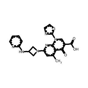 Cc1cc(N2CC(Nc3ccccn3)C2)nc2c1c(=O)c(C(=O)O)cn2-c1nccs1